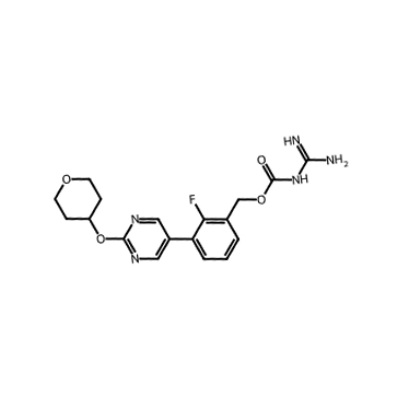 N=C(N)NC(=O)OCc1cccc(-c2cnc(OC3CCOCC3)nc2)c1F